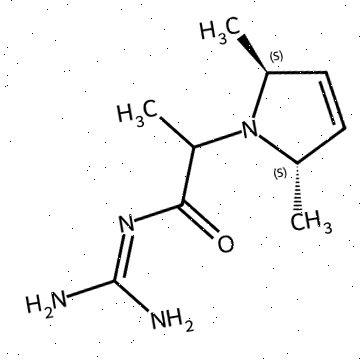 CC(C(=O)N=C(N)N)N1[C@@H](C)C=C[C@@H]1C